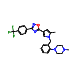 Cc1cc(-c2nc(-c3ccc(C(F)(F)F)cc3)no2)cn1Cc1c[c]ccc1N1CCN(C)CC1